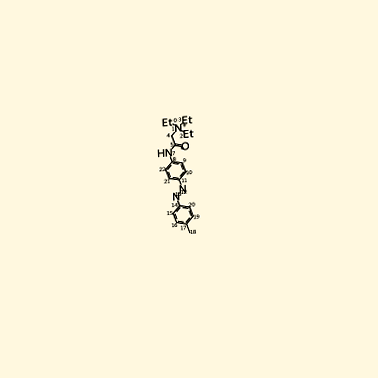 CC[N+](CC)(CC)CC(=O)Nc1ccc(/N=N/c2ccc(C)cc2)cc1